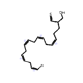 CC/C=C\C/C=C\C/C=C\C/C=C\C/C=C\CCC(C=S)CO